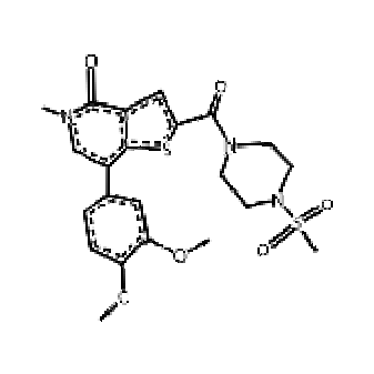 COc1ccc(-c2cn(C)c(=O)c3cc(C(=O)N4CCN(S(C)(=O)=O)CC4)sc23)cc1OC